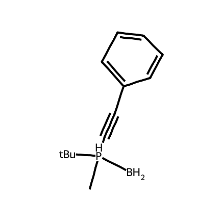 B[PH](C)(C#Cc1ccccc1)C(C)(C)C